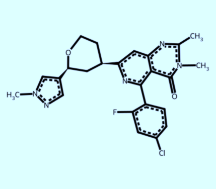 Cc1nc2cc([C@@H]3CCO[C@H](c4cnn(C)c4)C3)nc(-c3ccc(Cl)cc3F)c2c(=O)n1C